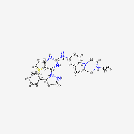 COc1cc(Nc2nc(N3N=CCC3c3ccccc3)c3sccc3n2)ccc1N1CCN(C)CC1